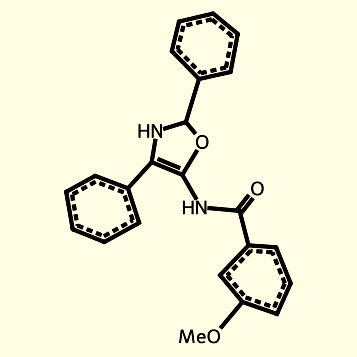 COc1cccc(C(=O)NC2=C(c3ccccc3)NC(c3ccccc3)O2)c1